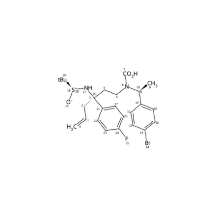 C=CC[C@@](CCN(C(=O)O)[C@@H](C)c1ccc(Br)cc1)(N[S@@+]([O-])C(C)(C)C)c1ccc(F)cc1